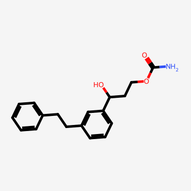 NC(=O)OCCC(O)c1cccc(CCc2ccccc2)c1